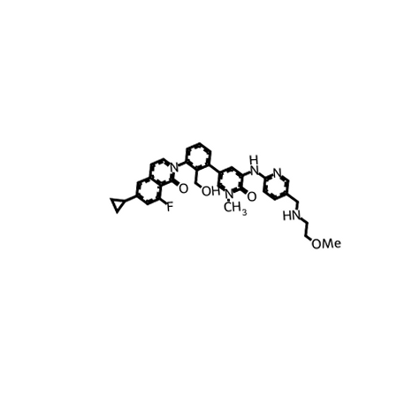 COCCNCc1ccc(Nc2cc(-c3cccc(-n4ccc5cc(C6CC6)cc(F)c5c4=O)c3CO)cn(C)c2=O)nc1